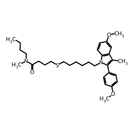 CCCCN(C)C(=O)CCCSCCCCCCn1c(-c2ccc(OC)cc2)c(C)c2cc(OC)ccc21